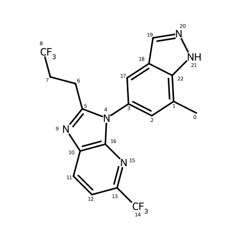 Cc1cc(-n2c(CCC(F)(F)F)nc3ccc(C(F)(F)F)nc32)cc2cn[nH]c12